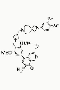 COc1cc(-c2cn(C)c(=O)c3cnc(C4CC4)cc23)cc(OC)c1CN1CC(CN2CCC3(CC2)CN(c2ccc(C(C)=O)c(C(C)=O)c2)C3)C1